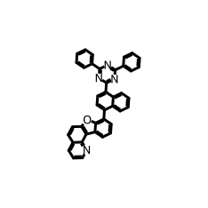 c1ccc(-c2nc(-c3ccccc3)nc(-c3ccc(-c4cccc5c4oc4ccc6cccnc6c45)c4ccccc34)n2)cc1